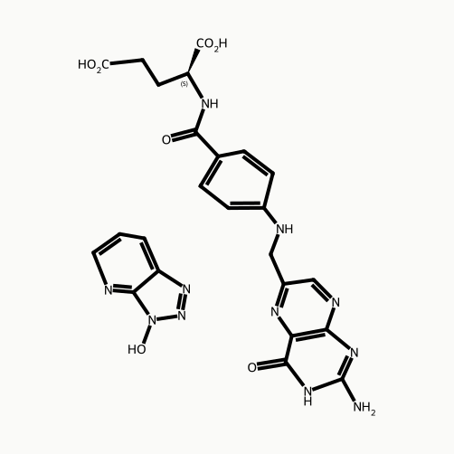 Nc1nc2ncc(CNc3ccc(C(=O)N[C@@H](CCC(=O)O)C(=O)O)cc3)nc2c(=O)[nH]1.On1nnc2cccnc21